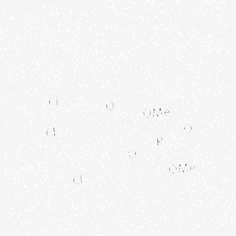 COP(=O)(OC)OC(OC(C)Cl)=C(Cl)Cl